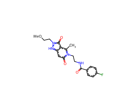 COCCn1[nH]c2cc(=O)n(CCNC(=O)c3ccc(F)cc3)c(C)c2c1=O